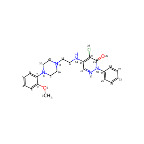 COc1ccccc1N1CCN(CCNc2cnn(-c3ccccc3)c(=O)c2Cl)CC1